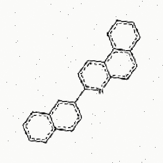 c1ccc2cc(-c3ccc4c(ccc5ccccc54)n3)ccc2c1